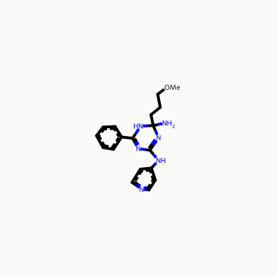 COCCCC1(N)N=C(Nc2ccncc2)N=C(c2ccccc2)N1